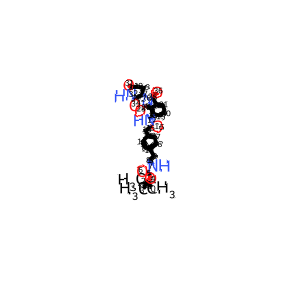 CC(C)(C)OC(=O)NCCc1ccc(CC(=O)Nc2cccc3c2C(=O)N(C2CCC(=O)NC2=O)C3=O)cc1